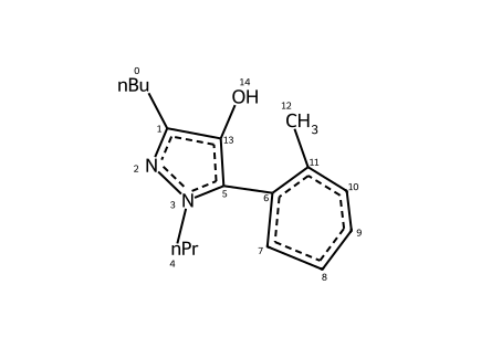 CCCCc1nn(CCC)c(-c2ccccc2C)c1O